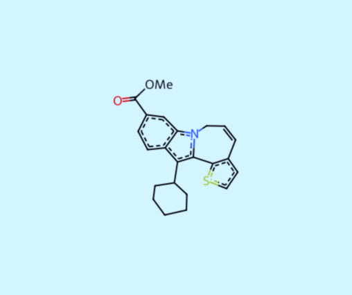 COC(=O)c1ccc2c(C3CCCCC3)c3n(c2c1)CC=Cc1ccsc1-3